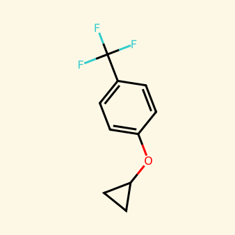 FC(F)(F)c1ccc(OC2CC2)cc1